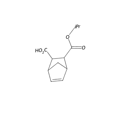 CC(C)OC(=O)C1C2C=CC(C2)C1C(=O)O